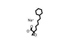 O=C([O-])C1(CCCCCC2CCCCC2)CO1.[Na+]